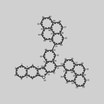 c1ccc2cc3c(cc2c1)oc1cc(-c2ccc4ccc5cccc6ccc2c4c56)c2cc(-c4ccc5ccc6cccc7ccc4c5c67)ccc2c13